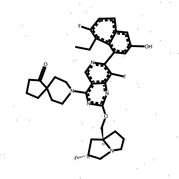 CCc1c(F)ccc2cc(O)cc(-c3ncc4c(N5CCC6(CCCC6=O)CC5)nc(OC[C@@]56CCCN5C[C@H](F)C6)nc4c3F)c12